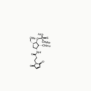 COC[C@H]1C[C@@H](NC(=O)CCN2C(=O)C=CC2=O)[C@@H](OC)C1OP(O)(=S)OC